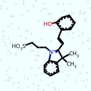 CC1(C)C(/C=C/c2ccccc2O)=[N+](CCCS(=O)(=O)O)c2ccccc21